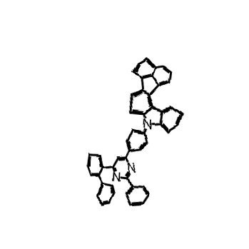 c1ccc(-c2nc(-c3ccc(-n4c5ccccc5c5c6c(ccc54)-c4cccc5cccc-6c45)cc3)cc(-c3ccccc3-c3ccccc3)n2)cc1